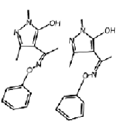 C/C(=N/Oc1ccccc1)c1c(C)nn(C)c1O.C/C(=N/Oc1ccccc1)c1c(C)nn(C)c1O